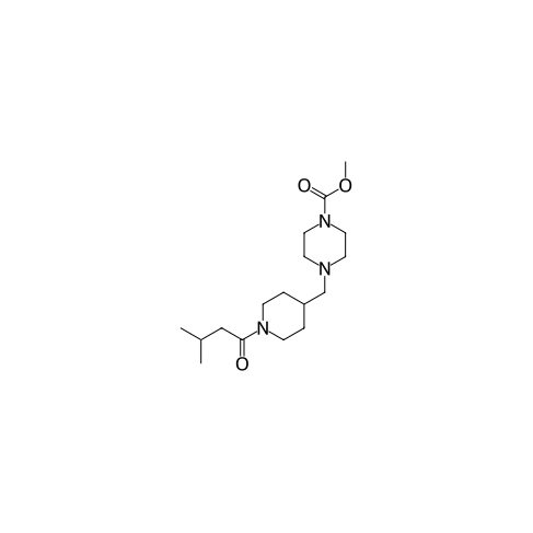 COC(=O)N1CCN(CC2CCN(C(=O)CC(C)C)CC2)CC1